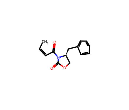 C/C=C\C(=O)N1C(=O)OC[C@@H]1Cc1ccccc1